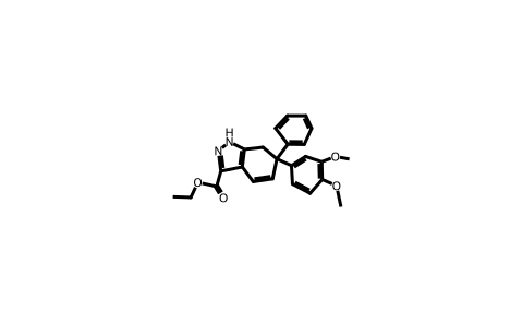 CCOC(=O)c1n[nH]c2c1C=CC(c1ccccc1)(c1ccc(OC)c(OC)c1)C2